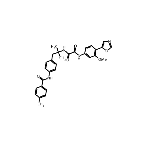 COc1cc(NC(=O)C(=O)NC(C)(C)Cc2ccc(NC(=O)c3ccc(C)cc3)cc2)ccc1-c1cnco1